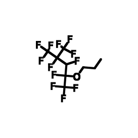 CCCOC(F)(C(F)C(F)(C(F)(F)F)C(F)(F)F)C(F)(F)F